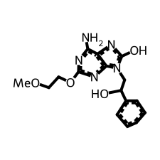 COCCOc1nc(N)c2nc(O)n(CC(O)c3ccccc3)c2n1